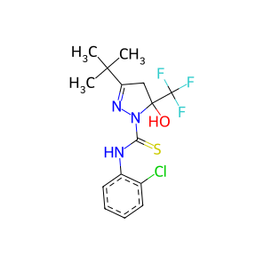 CC(C)(C)C1=NN(C(=S)Nc2ccccc2Cl)C(O)(C(F)(F)F)C1